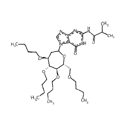 CCCCOC[C@H]1OC(n2cnc3nc(NC(=O)C(C)C)[nH]c(=O)c32)C[C@H](OCCCC)[C@@H](OCCCC)[C@@H]1OCCCC